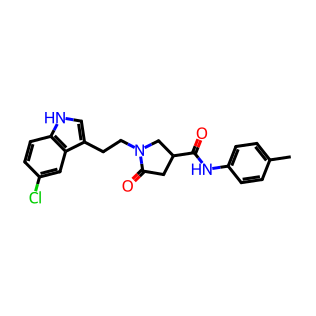 Cc1ccc(NC(=O)C2CC(=O)N(CCc3c[nH]c4ccc(Cl)cc34)C2)cc1